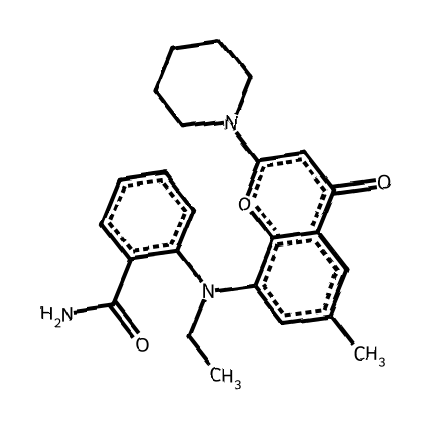 CCN(c1ccccc1C(N)=O)c1cc(C)cc2c(=O)cc(N3CCCCC3)oc12